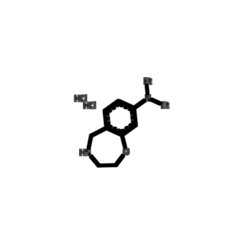 CCN(CC)c1ccc2c(c1)OCCNC2.Cl.Cl